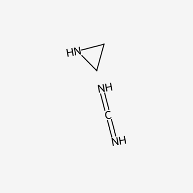 C1CN1.N=C=N